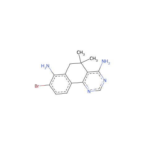 CC1(C)Cc2c(ccc(Br)c2N)-c2ncnc(N)c21